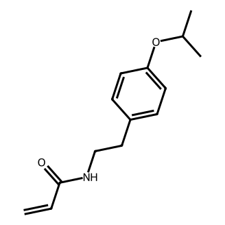 C=CC(=O)NCCc1ccc(OC(C)C)cc1